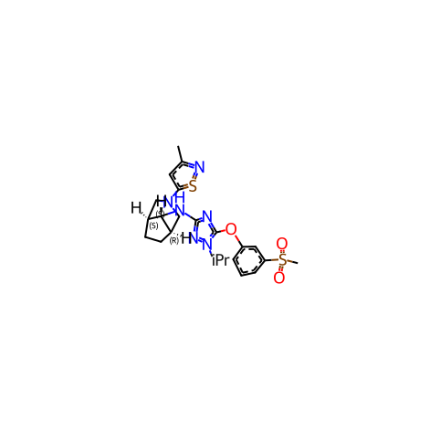 Cc1cc(N2C[C@H]3CC[C@@H](C2)[C@@H]3Nc2nc(Oc3cccc(S(C)(=O)=O)c3)n(C(C)C)n2)sn1